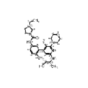 CC[C@@H]1CCN(C(=O)Nc2ccc(C)c(-c3cc(N[C@H](C)CO)nc(N4CCOCC4)c3F)c2)C1